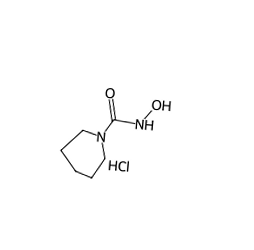 Cl.O=C(NO)N1CCCCC1